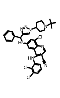 CC(C)(C)N1CCC(n2cc(C(Nc3cc(Cl)c4ncc(C#N)c(Nc5cccc(Cl)c5Cl)c4c3)c3ccccc3)nn2)CC1